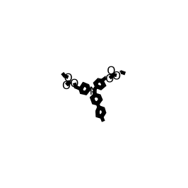 CCOC(=O)OCc1ccc(N(c2ccc(COC(=O)OCC)cc2)c2ccc(-c3ccc(C)cc3)cc2)cc1